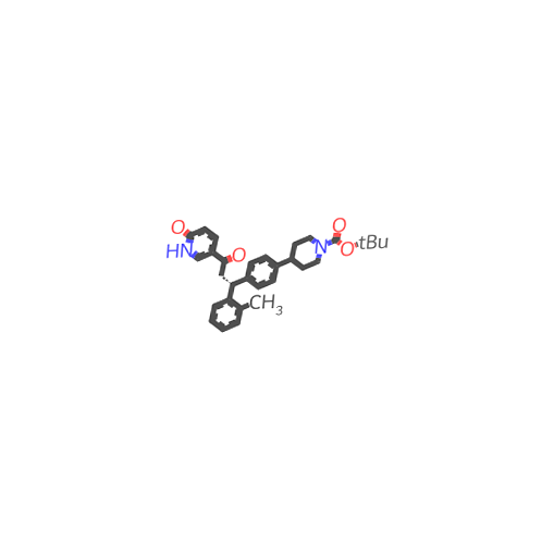 Cc1ccccc1[C@H](CC(=O)c1ccc(=O)[nH]c1)c1ccc(C2CCN(C(=O)OC(C)(C)C)CC2)cc1